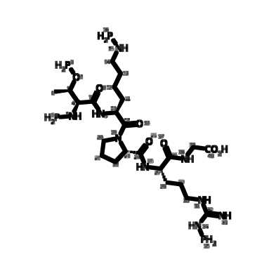 C[C@@H](OP)[C@H](NP)C(=O)N[C@@H](CCCCNP)C(=O)N1CCC[C@H]1C(=O)N[C@@H](CCCNC(=N)NP)C(=O)NCC(=O)O